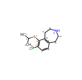 CC(C#N)Sc1c(Cl)ccc2c1CCNCC2